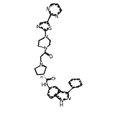 O=C(Nc1ccc2[nH]nc(-c3ccccc3)c2c1)[C@@H]1CCN(CC(=O)N2CCN(c3ncc(-c4ncccn4)s3)CC2)C1